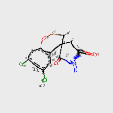 O=C1CC2(CSOc3cc(Cl)c(Cl)cc32)C(=O)N1